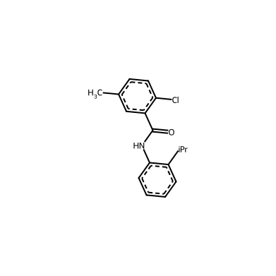 Cc1ccc(Cl)c(C(=O)Nc2ccccc2C(C)C)c1